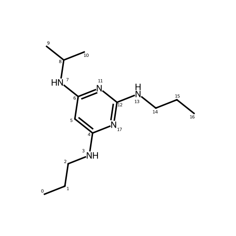 CCCNc1cc(NC(C)C)nc(NCCC)n1